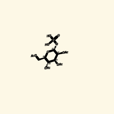 CC(=O)OC[C@H]1O[C@H](OP(=O)(O)O)[C@@H](OC(C)=O)[C@@H](OC(C)=O)[C@@H]1OC(C)=O